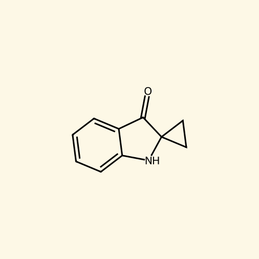 O=C1c2ccccc2NC12CC2